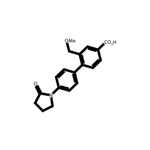 COCc1cc(C(=O)O)ccc1-c1ccc(N2CCCC2=O)cc1